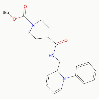 CC(C)(C)OC(=O)N1CCC(C(=O)NCC2C=CC=CN2c2ccccc2)CC1